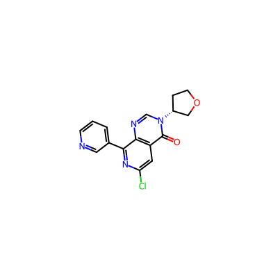 O=c1c2cc(Cl)nc(-c3cccnc3)c2ncn1[C@@H]1CCOC1